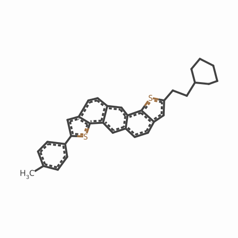 Cc1ccc(-c2cc3ccc4cc5c(ccc6cc(CCC7CCCCC7)sc65)cc4c3s2)cc1